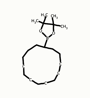 CC1(C)OB(C2CCCCCCCCCCCCC2)OC1(C)C